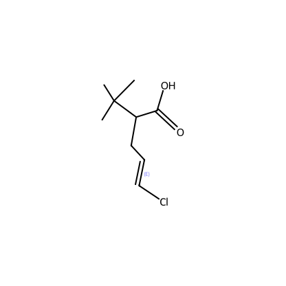 CC(C)(C)C(C/C=C/Cl)C(=O)O